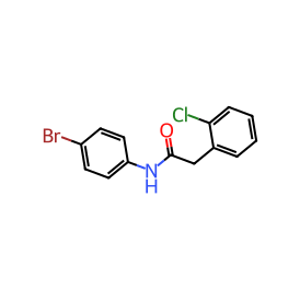 O=C(Cc1ccccc1Cl)Nc1ccc(Br)cc1